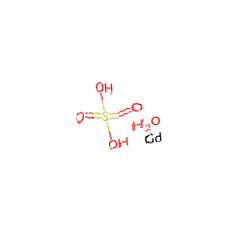 O.O=S(=O)(O)O.[Gd]